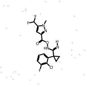 [H]/N=C(\NOC(=O)c1cc(C(F)F)n(C)n1)C1(c2cccc(F)c2Cl)CC1